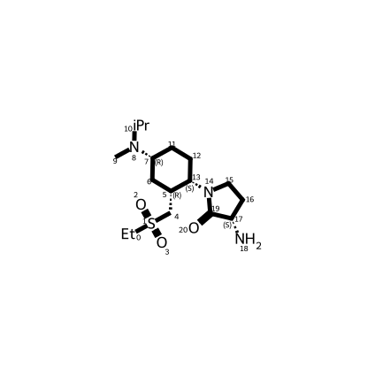 CCS(=O)(=O)C[C@@H]1C[C@H](N(C)C(C)C)CC[C@@H]1N1CC[C@H](N)C1=O